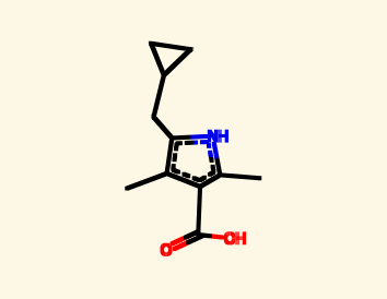 Cc1[nH]c(CC2CC2)c(C)c1C(=O)O